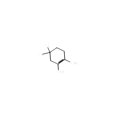 CC1=C(C)CC(Cl)(Cl)CC1